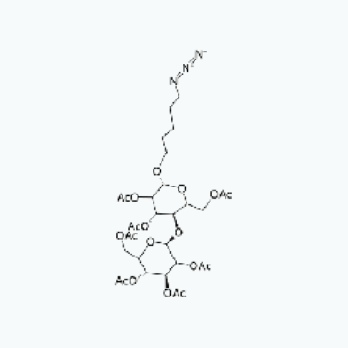 CC(=O)OCC1O[C@@H](O[C@@H]2C(COC(C)=O)O[C@@H](OCCCCCN=[N+]=[N-])C(OC(C)=O)[C@H]2OC(C)=O)C(OC(C)=O)[C@@H](OC(C)=O)[C@@H]1OC(C)=O